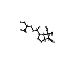 CCC(CCC(C)C1CCC2C(=O)C(Cl)(Cl)C21)OC